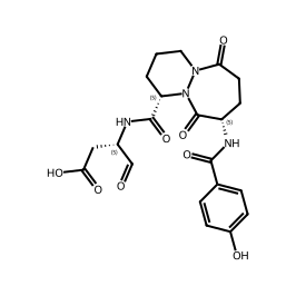 O=C[C@H](CC(=O)O)NC(=O)[C@@H]1CCCN2C(=O)CC[C@H](NC(=O)c3ccc(O)cc3)C(=O)N12